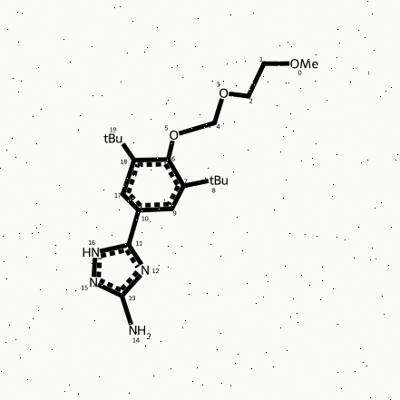 COCCOCOc1c(C(C)(C)C)cc(-c2nc(N)n[nH]2)cc1C(C)(C)C